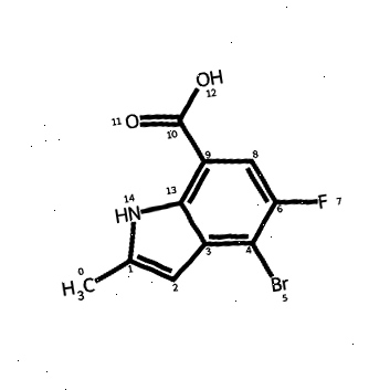 Cc1cc2c(Br)c(F)cc(C(=O)O)c2[nH]1